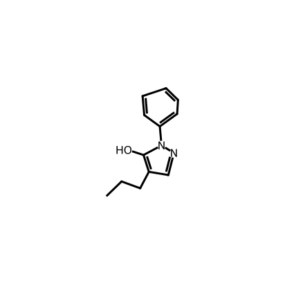 CCCc1cnn(-c2ccccc2)c1O